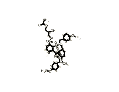 COc1ccc(CN(Cc2ccc(OC)cc2)S(=O)(=O)c2c(S(=O)(=O)NCC(O)COC(N)=O)ccc(I)c2-c2nnn(Cc3ccc(OC)cc3)n2)cc1